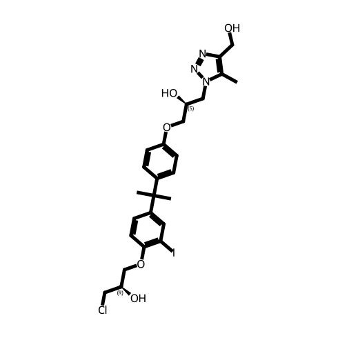 Cc1c(CO)nnn1C[C@H](O)COc1ccc(C(C)(C)c2ccc(OC[C@@H](O)CCl)c(I)c2)cc1